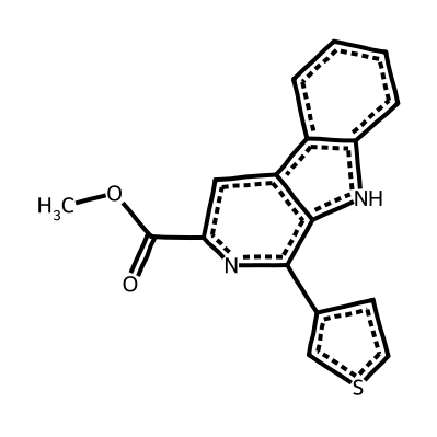 COC(=O)c1cc2c([nH]c3ccccc32)c(-c2ccsc2)n1